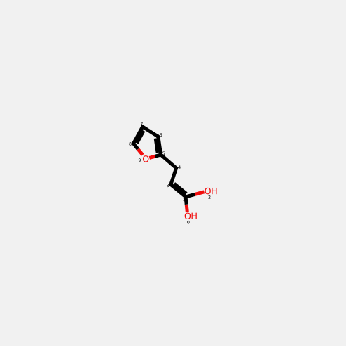 OC(O)=CCc1ccco1